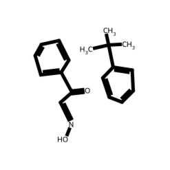 CC(C)(C)c1ccccc1.O=C(C=NO)c1ccccc1